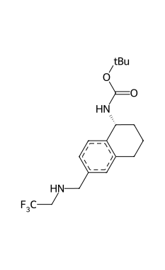 CC(C)(C)OC(=O)N[C@@H]1CCCc2cc(CNCC(F)(F)F)ccc21